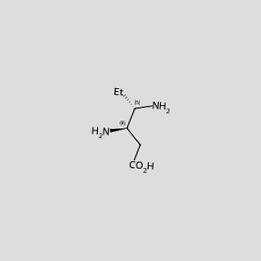 CC[C@H](N)[C@H](N)CC(=O)O